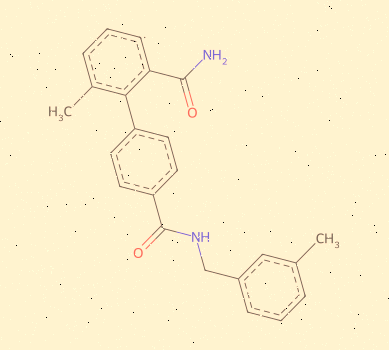 Cc1cccc(CNC(=O)c2ccc(-c3c(C(N)=O)[c]ccc3C)cc2)c1